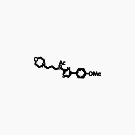 COc1ccc(-c2csc(N(CCCN3CCOCC3)C(C)=O)n2)cc1